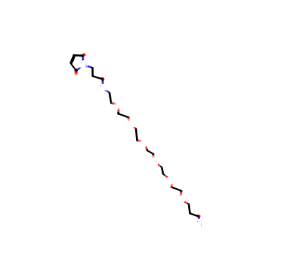 NC(=O)CCOCCOCCOCCOCCOCCOCCNC(=O)CCN1C(=O)C=CC1=O